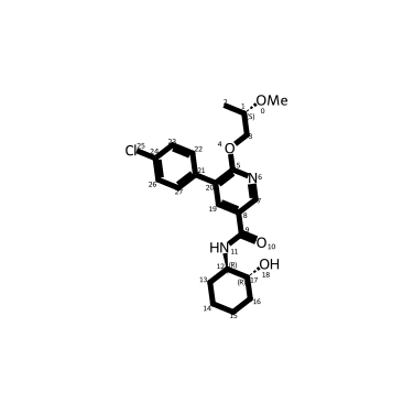 CO[C@@H](C)COc1ncc(C(=O)N[C@@H]2CCCC[C@H]2O)cc1-c1ccc(Cl)cc1